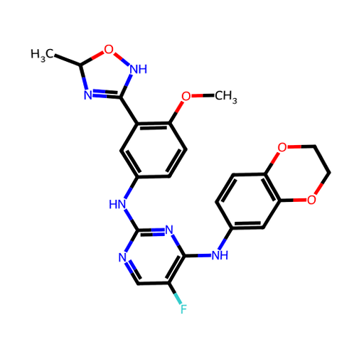 COc1ccc(Nc2ncc(F)c(Nc3ccc4c(c3)OCCO4)n2)cc1C1=NC(C)ON1